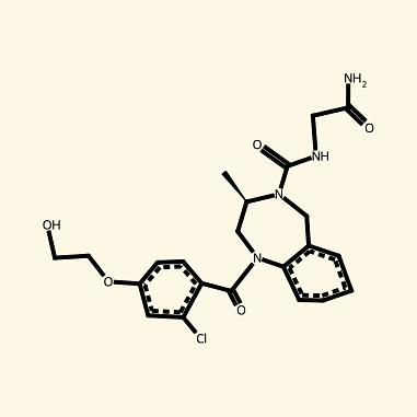 C[C@@H]1CN(C(=O)c2ccc(OCCO)cc2Cl)c2ccccc2CN1C(=O)NCC(N)=O